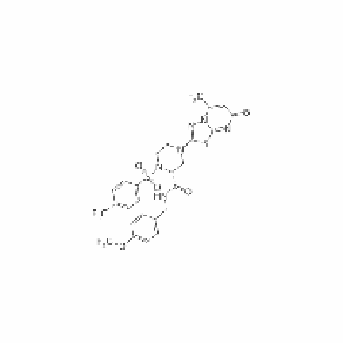 O=C(NCc1ccc(OC(F)(F)F)cc1)[C@H]1CN(c2nn3c(C(F)(F)F)cc(=O)nc3s2)CCN1S(=O)(=O)c1ccc(C(F)(F)F)cc1